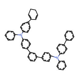 C1=CC(c2ccc(N(c3ccccc3)c3ccc(-c4cccc(-c5ccc(N(c6ccccc6)c6ccc(-c7ccccc7)cc6)cc5)c4)cc3)cc2)=CCC1